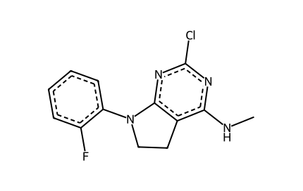 CNc1nc(Cl)nc2c1CCN2c1ccccc1F